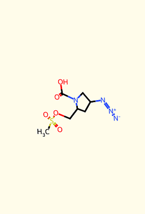 CS(=O)(=O)OCC1CC(N=[N+]=[N-])CN1C(=O)O